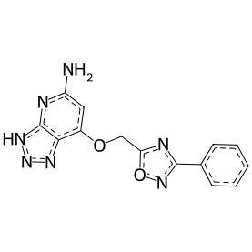 Nc1cc(OCc2nc(-c3ccccc3)no2)c2nn[nH]c2n1